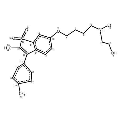 CCN(CCO)CCCCOc1ccc2c(c1)S(=O)(=O)C(C)=C2c1ccc(C(F)(F)F)cc1